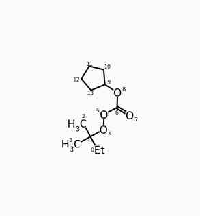 CCC(C)(C)OOC(=O)OC1CCCC1